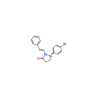 O=C1CC[C@H](c2ccc(Br)cc2)N1C=Cc1ccccc1